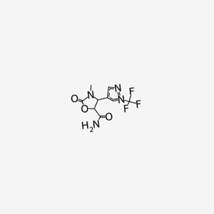 CN1C(=O)OC(C(N)=O)C1c1cnn(C(F)(F)F)c1